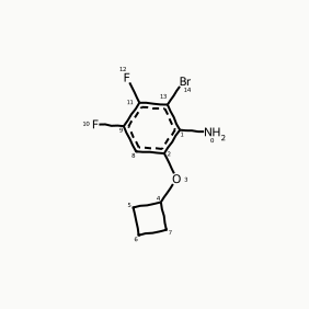 Nc1c(OC2CCC2)cc(F)c(F)c1Br